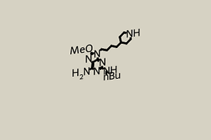 CCCCNc1nc(N)c2nc(OC)n(CCCCC3CCNCC3)c2n1